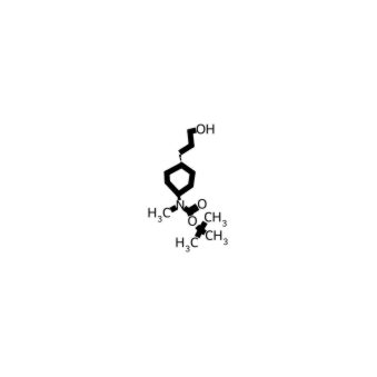 CN(C(=O)OC(C)(C)C)[C@H]1CC[C@H](CCCO)CC1